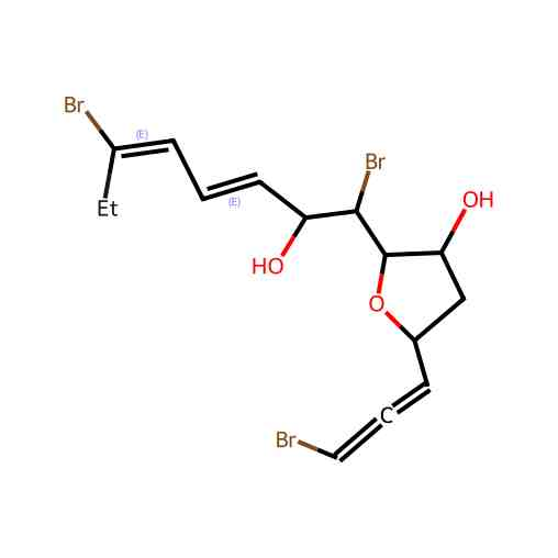 CC/C(Br)=C\C=C\C(O)C(Br)C1OC(C=C=CBr)CC1O